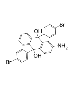 Nc1ccc2c(c1)C(O)(c1ccc(Br)cc1)c1ccccc1C2(O)c1ccc(Br)cc1